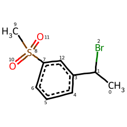 CC(Br)c1cccc(S(C)(=O)=O)c1